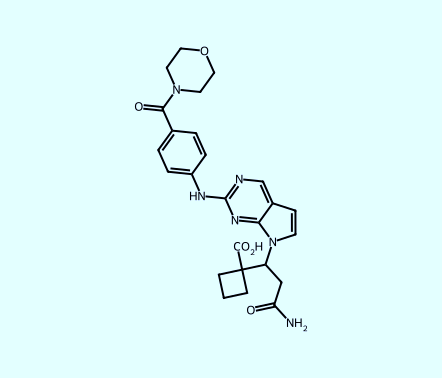 NC(=O)CC(n1ccc2cnc(Nc3ccc(C(=O)N4CCOCC4)cc3)nc21)C1(C(=O)O)CCC1